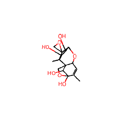 CC1=CC2OC3C(O)C(O)C(C)(C34CO4)C23COC1(O)C3O